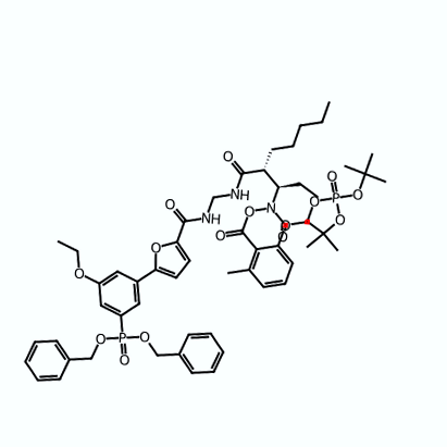 CCCCC[C@@H](C(=O)NCNC(=O)c1ccc(-c2cc(OCC)cc(P(=O)(OCc3ccccc3)OCc3ccccc3)c2)o1)[C@@H](CC)N(C=O)OC(=O)c1c(C)cccc1OCOP(=O)(OC(C)(C)C)OC(C)(C)C